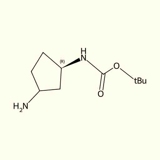 CC(C)(C)OC(=O)N[C@@H]1CCC(N)C1